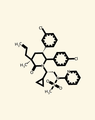 C=CC[C@@]1(C)C[C@H](c2cccc(Cl)c2)C(c2ccc(Cl)cc2)N([C@H](CN(c2ccccn2)S(C)(=O)=O)C2CC2)C1=O